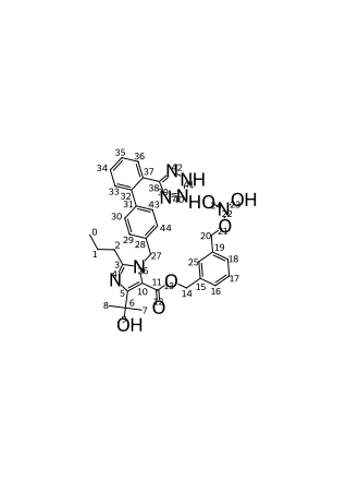 CCCc1nc(C(C)(C)O)c(C(=O)OCc2cccc(CON(O)O)c2)n1Cc1ccc(-c2ccccc2-c2nn[nH]n2)cc1